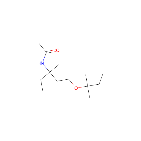 CCC(C)(CCOC(C)(C)CC)NC(C)=O